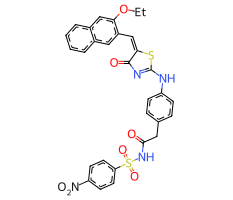 CCOc1cc2ccccc2cc1C=C1SC(Nc2ccc(CC(=O)NS(=O)(=O)c3ccc([N+](=O)[O-])cc3)cc2)=NC1=O